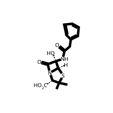 CC1(C)S[C@H]2N(C(=O)[C@@]2(O)NC(=O)Cc2ccccc2)[C@H]1C(=O)O